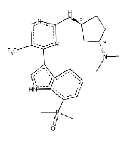 CN(C)[C@H]1CC[C@H](Nc2ncc(C(F)(F)F)c(-c3c[nH]c4c(P(C)(C)=O)cccc34)n2)C1